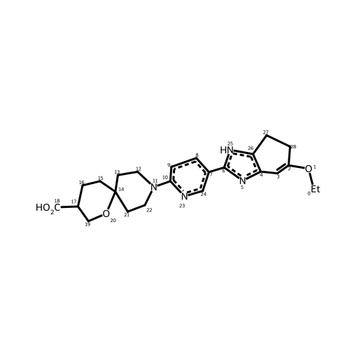 CCOC1=Cc2nc(-c3ccc(N4CCC5(CCC(C(=O)O)CO5)CC4)nc3)[nH]c2CC1